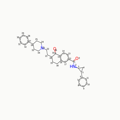 O=C(N[C@H]1CC1c1ccccc1)c1ccc2c(c1)CCC(CCN1CCC(c3ccccc3)CC1)C2=O